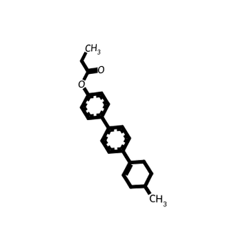 CCC(=O)Oc1ccc(-c2ccc(C3=CCC(C)CC3)cc2)cc1